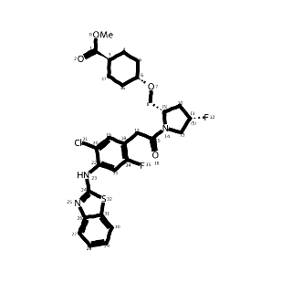 COC(=O)[C@H]1CC[C@H](OC[C@@H]2C[C@H](F)CN2C(=O)Cc2cc(Cl)c(Nc3nc4ccccc4s3)cc2F)CC1